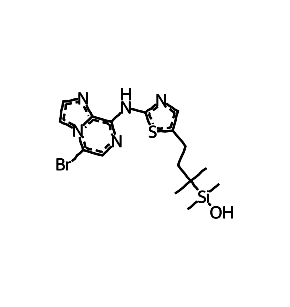 CC(C)(CCc1cnc(Nc2ncc(Br)n3ccnc23)s1)[Si](C)(C)O